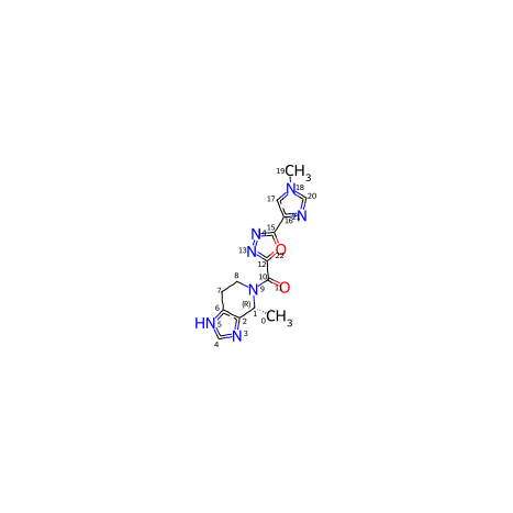 C[C@@H]1c2nc[nH]c2CCN1C(=O)c1nnc(-c2cn(C)cn2)o1